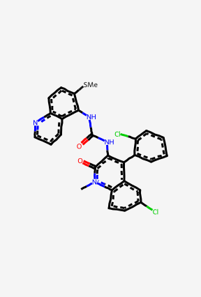 CSc1ccc2ncccc2c1NC(=O)Nc1c(-c2ccccc2Cl)c2cc(Cl)ccc2n(C)c1=O